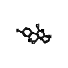 Fc1ccc(-c2c(Cl)nc3nccn3c2Cl)c(Cl)c1